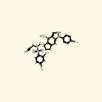 C[C@H]1C2=CNN(c3ccc(F)cc3)C2=CC2=C1[C@@H](CN(CC#N)S(=O)(=O)c1ccc(F)cc1F)CC2